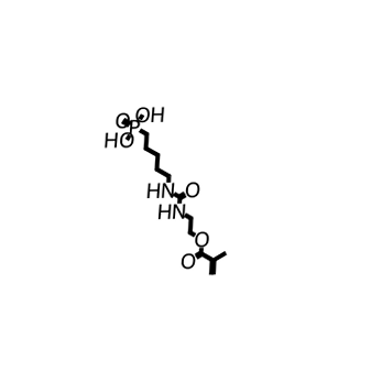 C=C(C)C(=O)OCCNC(=O)NCCCCCP(=O)(O)O